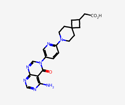 Nc1ncnc2ncn(-c3ccc(N4CCC5(CC4)CC(CC(=O)O)C5)nc3)c(=O)c12